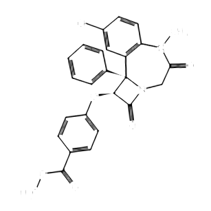 COC(=O)c1ccc(O[C@@H]2C(=O)N3CC(=O)N(C)c4ccc(Cl)cc4[C@@]23c2ccccc2)cc1